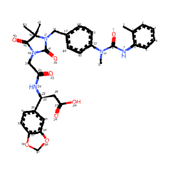 Cc1ccccc1NC(=O)N(C)c1ccc(CN2C(=O)N(CC(=O)N[C@@H](CC(=O)O)c3ccc4c(c3)OCO4)C(=O)C2(C)C)cc1